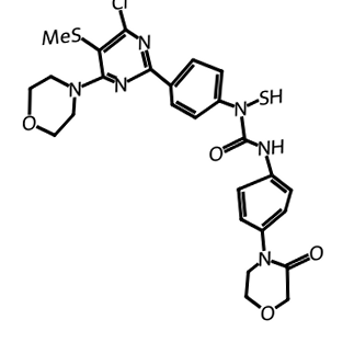 CSc1c(Cl)nc(-c2ccc(N(S)C(=O)Nc3ccc(N4CCOCC4=O)cc3)cc2)nc1N1CCOCC1